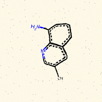 N#Cc1cnc2c(N)cccc2c1